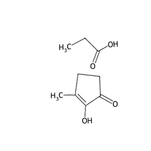 CC1=C(O)C(=O)CC1.CCC(=O)O